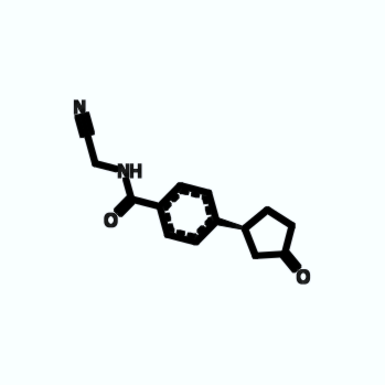 N#CCNC(=O)c1ccc([C@H]2CCC(=O)C2)cc1